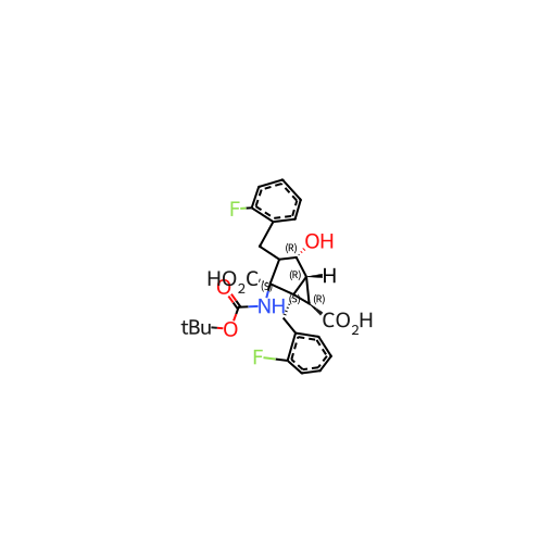 CC(C)(C)OC(=O)N[C@@]1(C(=O)O)C(Cc2ccccc2F)[C@H](O)[C@@H]2[C@@H](C(=O)O)[C@]21Cc1ccccc1F